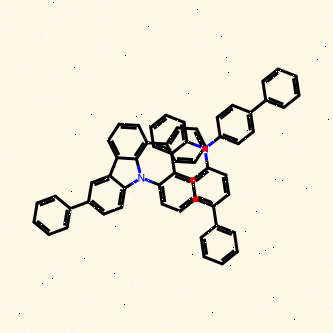 c1ccc(-c2ccc(N(c3ccc(-c4ccccc4)cc3)c3ccccc3-c3ccccc3-n3c4ccc(-c5ccccc5)cc4c4cccc(-c5ccccc5)c43)cc2)cc1